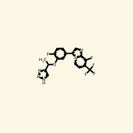 CC(Oc1cc(-c2cnc3c(F)c(C(F)(F)F)ccn23)ccc1F)c1c[nH]nn1